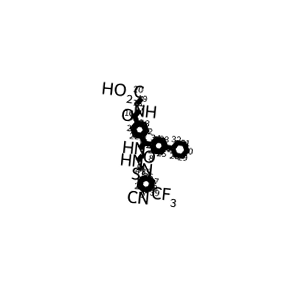 N#Cc1cc2sc(NC(=O)NC(c3ccc(C(=O)NCCC(=O)O)cc3)c3ccc(C4CCCCC4)cc3)nc2cc1C(F)(F)F